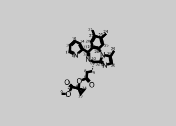 COC(=O)C1(OC(=O)CC[C@@H]2N=C(c3ccccn3)c3cc(C)c(C)cc3-n3c(C)cnc32)CC1